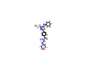 Cn1nc(-c2ccc(C(=S)NCCN3CCOCC3)cc2)sc1=NC1CCCCC1